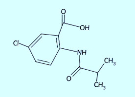 CC(C)C(=O)Nc1ccc(Cl)cc1C(=O)O